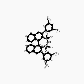 O=S1(=O)NS(=O)(=O)c2c(-c3cc(C(F)(F)F)cc(C(F)(F)F)c3)cc3ccccc3c2-c2c1c(-c1cc(C(F)(F)F)cc(C(F)(F)F)c1)cc1ccccc21